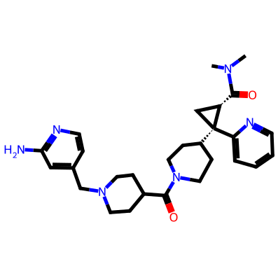 CN(C)C(=O)[C@H]1C[C@@]1(c1ccccn1)C1CCN(C(=O)C2CCN(Cc3ccnc(N)c3)CC2)CC1